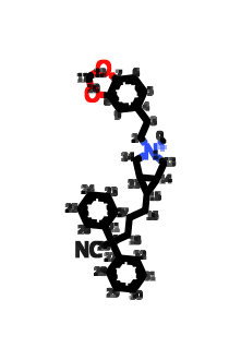 C[N+]1(CCc2ccc3c(c2)OCO3)CC2C(CCCC(C#N)(c3ccccc3)c3ccccc3)C2C1